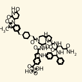 Cn1c(=O)n(C2CCC(=O)NC2=O)c2ccc(C[C@H]3CC[C@@H](CC(=O)N4CC[C@H]5CC[C@@H](C(=O)N[C@@H](CCC(N)=O)C(=O)NC(c6ccccc6)c6ccccc6)N5C(=O)[C@@H](NC(=O)c5cc6cc(C(=O)P(=O)(O)O)ccc6[nH]5)C4)CC3)cc21